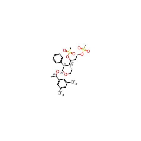 C[C@@H](O[C@H]1OCC[C@@H]([C@H](CCOS(C)(=O)=O)OS(C)(=O)=O)[C@@H]1c1ccccc1)c1cc(C(F)(F)F)cc(C(F)(F)F)c1